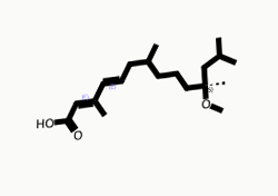 CO[C@@](C)(CCCC(C)C/C=C/C(C)=C/C(=O)O)CC(C)C